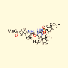 COC(=O)C1CC2(CC(NC(COc3cc(-c4c(C)cccc4C)nc(NS(=O)(=O)c4cccc(C(=O)O)c4)n3)CC(C)(C)C)C2)C1